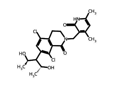 Cc1cc(C)c(CN2CCc3c(Cl)cc(C([C@@H](C)O)[C@@H](C)O)c(Cl)c3C2=O)c(=O)[nH]1